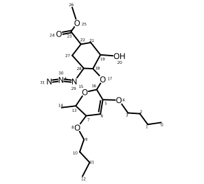 CCCCOC1=CC(OCCCC)C(C)OC1OC1C(O)CC(C(=O)OC)CC1N=[N+]=[N-]